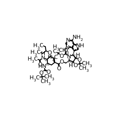 CCC(CC)O[C@@H]1C=C(C(=O)OC[C@@H]2[C@H]3OC(C)(C)O[C@H]3[C@H](c3c[nH]c4c(N)ncnc34)N2C(=O)OC(C)(C)C)C[C@H](NC(=O)OC(C)(C)C)[C@H]1NC(C)=O